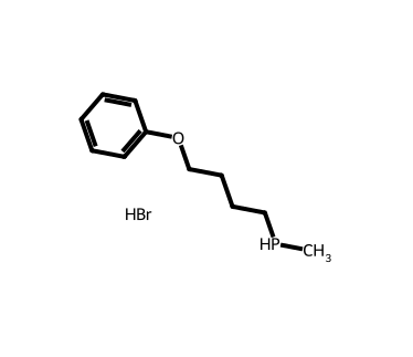 Br.CPCCCCOc1ccccc1